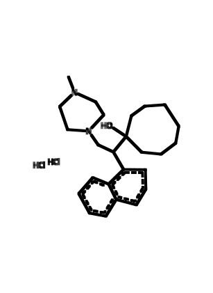 CN1CCN(CC(c2cccc3ccccc23)C2(O)CCCCCCC2)CC1.Cl.Cl